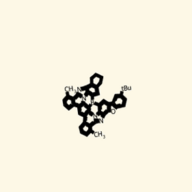 Cc1cccc2c3cc4c5cccc(C)c5c5nc6c7oc8ccc(C(C)(C)C)cc8c7cc7c6n5c4c4c3n3c(nc5c6c(cc(c53)B47)CCCC6)c12